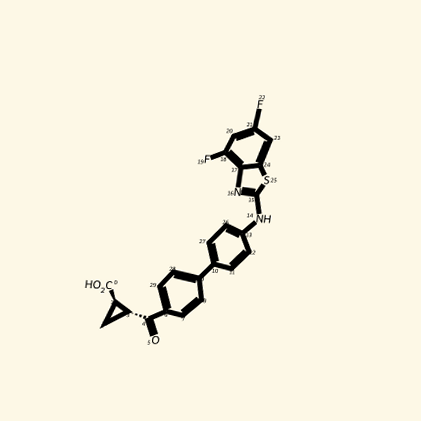 O=C(O)[C@@H]1C[C@H]1C(=O)c1ccc(-c2ccc(Nc3nc4c(F)cc(F)cc4s3)cc2)cc1